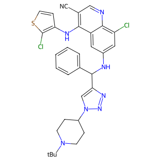 CC(C)(C)N1CCC(n2cc(C(Nc3cc(Cl)c4ncc(C#N)c(Nc5ccsc5Cl)c4c3)c3ccccc3)nn2)CC1